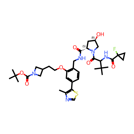 Cc1ncsc1-c1ccc(CNC(=O)[C@@H]2C[C@@H](O)CN2C(=O)C(NC(=O)C2(F)CC2)C(C)(C)C)c(OCCC2CN(C(=O)OC(C)(C)C)C2)c1